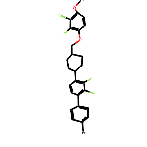 CCOc1ccc(OCC2CCC(c3ccc(-c4ccc(CC)cc4)c(F)c3F)CC2)c(F)c1F